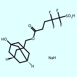 O=C(CCC(F)(F)C(F)(F)S(=O)(=O)O)OCC12C[C@@H]3C[C@@H](CC(O)(C3)C1)C2.[NaH]